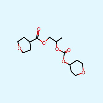 C[C](COC(=O)C1CCOCC1)OC(=O)OC1CCOCC1